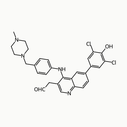 CN1CCN(Cc2ccc(Nc3c(CC=O)cnc4ccc(-c5cc(Cl)c(O)c(Cl)c5)cc34)cc2)CC1